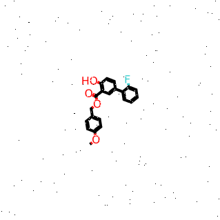 COc1ccc(COC(=O)c2cc(-c3ccccc3F)ccc2O)cc1